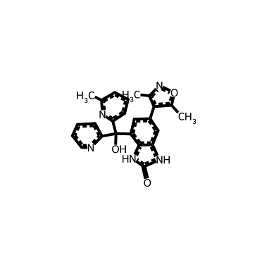 Cc1cccc(C(O)(c2ccccn2)c2cc(-c3c(C)noc3C)cc3[nH]c(=O)[nH]c23)n1